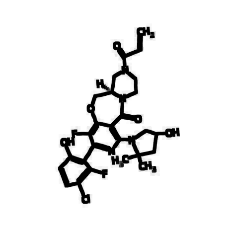 C=CC(=O)N1CCN2C(=O)c3c(N4CC(O)CC4(C)C)nc(-c4c(O)ccc(Cl)c4F)c(F)c3OC[C@H]2C1